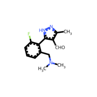 Cc1n[nH]c(-c2c(F)cccc2CN(C)C)c1C=O